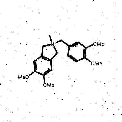 COc1ccc(C[N+]2(C)Cc3cc(OC)c(OC)cc3C2)cc1OC